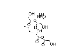 CCCC.N.N.O=C(CO)OC(=O)CO.O=C(CO)OC(=O)CO